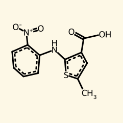 Cc1cc(C(=O)O)c(Nc2ccccc2[N+](=O)[O-])s1